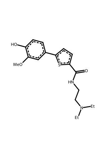 CCN(CC)CCNC(=O)c1ccc(-c2ccc(O)c(OC)c2)s1